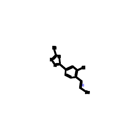 CCc1nnc(-c2ccc(/C=C/C(C)=O)c(Cl)c2)o1